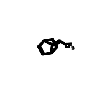 FC(F)(F)C=C1C2C=CC1CC2